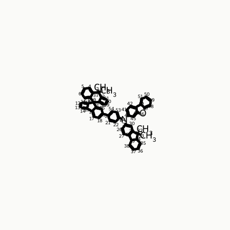 CC1(C)c2ccccc2C2(c3ccccc3-c3ccc(-c4ccc(N(c5ccc6c(c5)C(C)(C)C5C=CC=CC65)c5ccc6c(c5)oc5ccccc56)cc4)cc32)c2ccccc21